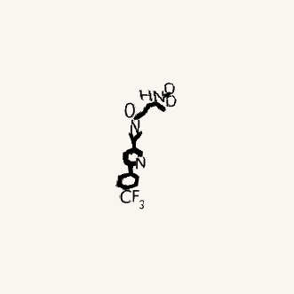 O=C1NC(CCC(=O)N2CC(c3ccc(C4CCC(C(F)(F)F)CC4)nc3)C2)CO1